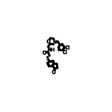 O=C(CSc1ccc2c(c1)CCC2=O)NCC1CN(Cc2ccc(Cl)c(Cl)c2)CCO1